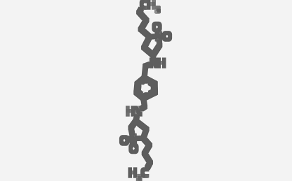 CCCCC1CC(NCc2ccc(CNC3CC(CCCC)S(=O)(=O)C3)cc2)CS1(=O)=O